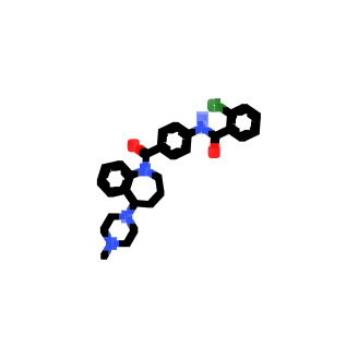 CN1CCN(C2CCCN(C(=O)c3ccc(NC(=O)c4ccccc4Cl)cc3)c3ccccc32)CC1